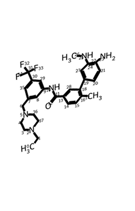 CCN1CCN(Cc2cc(NC(=O)c3ccc(C)c(-c4ccc(N)c(NC)c4)c3)cc(C(F)(F)F)c2)CC1